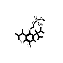 [2H]c1c([2H])c(C(C)C(C)C)c(OCOP(=O)(O)OC)c(C(C)(C(C)C)C(C)C)c1C